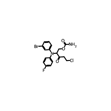 NC(=O)OCC(C(=O)CCCl)N(c1ccc(F)cc1)c1cccc(Br)c1